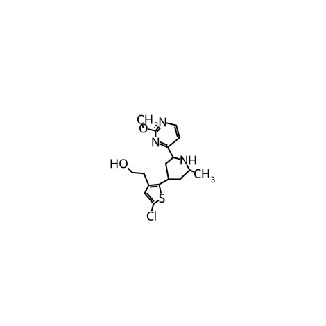 COc1nccc(C2CC(c3sc(Cl)cc3CCO)CC(C)N2)n1